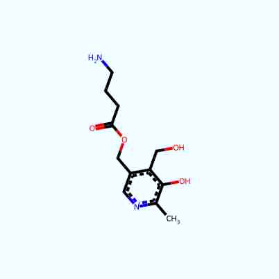 Cc1ncc(COC(=O)CCCN)c(CO)c1O